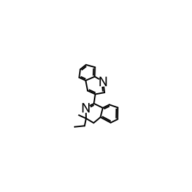 CCC1(C)Cc2ccccc2C(c2cnc3ccccc3c2)=N1